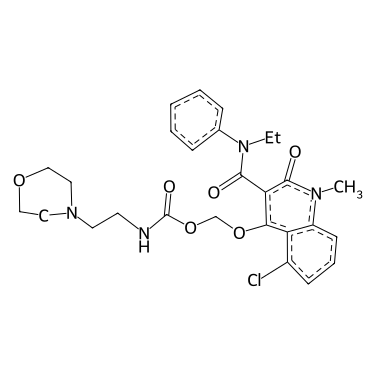 CCN(C(=O)c1c(OCOC(=O)NCCN2CCOCC2)c2c(Cl)cccc2n(C)c1=O)c1ccccc1